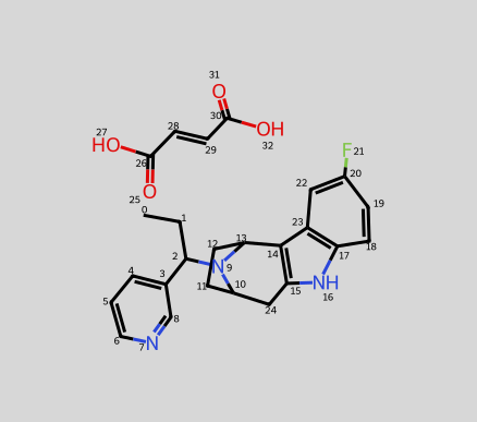 CCC(c1cccnc1)N1C2CCC1c1c([nH]c3ccc(F)cc13)C2.O=C(O)/C=C/C(=O)O